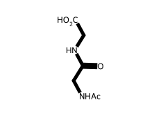 CC(=O)NCC(=O)NCC(=O)O